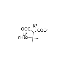 CCCCCCC(C)(C)C(C(=O)[O-])C(=O)[O-].[K+].[Li+]